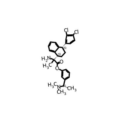 C[C@@H](c1cccc(OC(=O)C(C)(N)[C@H]2CC[C@@H](c3ccc(Cl)c(Cl)c3)c3ccccc32)c1)N(C)C